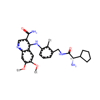 CCOc1cc2ncc(C(N)=O)c(Nc3cccc(CNC(=O)[C@@H](N)C4CCCC4)c3CC)c2cc1OCC